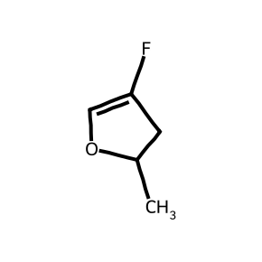 CC1CC(F)=CO1